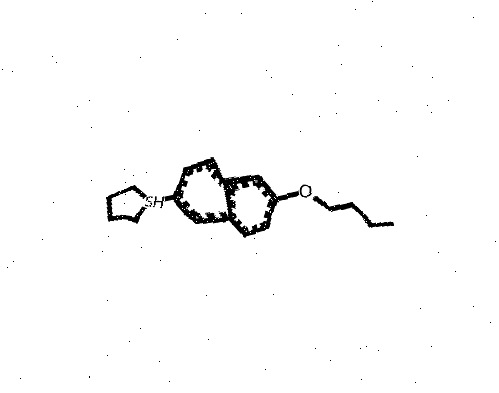 CCCCOc1ccc2cc([SH]3CCCC3)ccc2c1